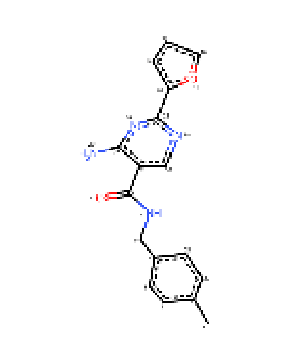 Cc1ccc(CNC(=O)c2cnc(-c3ccco3)nc2N)cc1